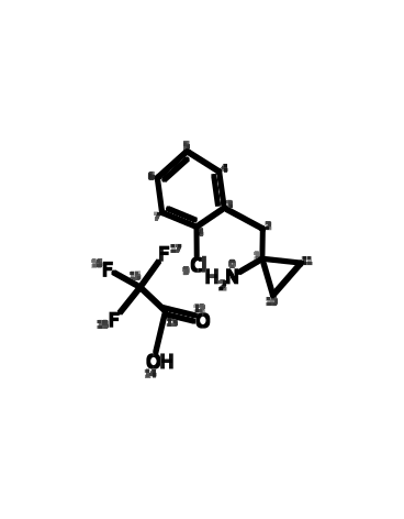 NC1(Cc2ccccc2Cl)CC1.O=C(O)C(F)(F)F